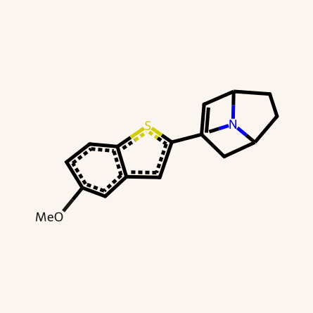 COc1ccc2sc(C3=CC4CCC(C3)N4C)cc2c1